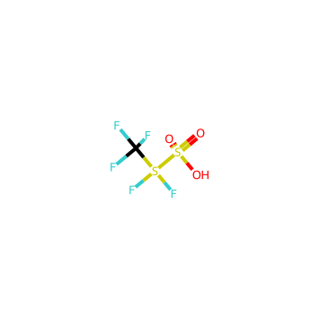 O=S(=O)(O)S(F)(F)C(F)(F)F